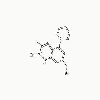 Cc1nc2c(-c3ccccc3)cc(CBr)cc2[nH]c1=O